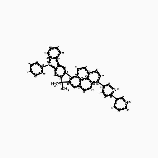 CC1(C)c2cc3c(cc2-c2c1cc1ccc4c(-c5ccc(-c6cccnc6)nc5)ccc5ccc2c1c54)c1ccccc1n3-c1ccccc1